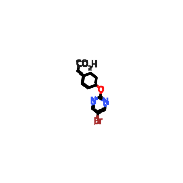 O=C(O)CC1CCC(Oc2ncc(Br)cn2)CC1